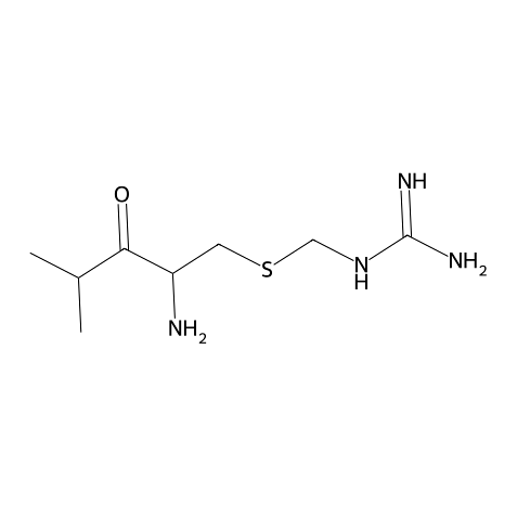 CC(C)C(=O)C(N)CSCNC(=N)N